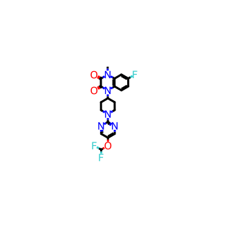 Cn1c(=O)c(=O)n(C2CCN(c3ncc(OC(F)F)cn3)CC2)c2ccc(F)cc21